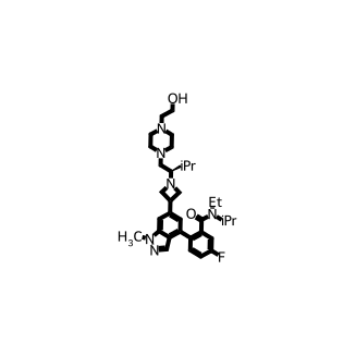 CCN(C(=O)c1cc(F)ccc1-c1cc(C2CN([C@@H](CN3CCN(CCO)CC3)C(C)C)C2)cc2c1cnn2C)C(C)C